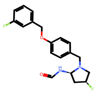 O=CN[C@@H]1C[C@H](F)CN1Cc1ccc(OCc2cccc(F)c2)cc1